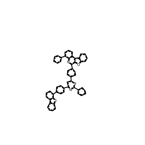 c1ccc(-c2nc(-c3ccc(-c4nc5c(-c6ccccc6)cccc5c5c4oc4ccccc45)cc3)cc(-c3ccc(-c4cccc5c4sc4ccccc45)cc3)n2)cc1